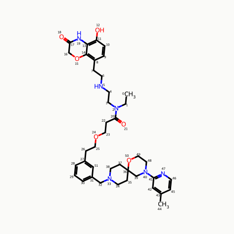 CCN(CCNCCc1ccc(O)c2c1OCC(=O)N2)C(=O)CCOCCc1cccc(CN2CCC3(CC2)CN(c2cc(C)ccn2)CCO3)c1